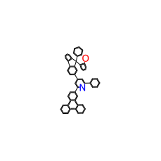 c1ccc(-c2cc(-c3ccc4c(c3)C3(c5ccccc5Oc5ccccc53)c3ccccc3-4)cc(-c3ccc4c5ccccc5c5ccccc5c4c3)n2)cc1